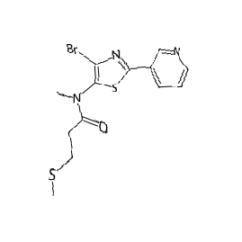 CSCCC(=O)N(C)c1sc(-c2cccnc2)nc1Br